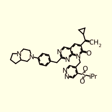 C=C(c1cc2cnc(Cc3ccc(N4CCN5CCCC5C4)cc3)nc2n(Cc2cnncc2S(=O)(=O)C(C)C)c1=O)C1CC1